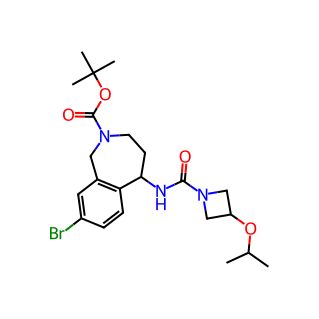 CC(C)OC1CN(C(=O)NC2CCN(C(=O)OC(C)(C)C)Cc3cc(Br)ccc32)C1